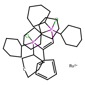 ClP(C=C(c1ccccc1)P(Cl)(C1CCCCC1)(C1CCCCC1)C1CCCCC1)(C1CCCCC1)(C1CCCCC1)C1CCCCC1.[Ru+2]